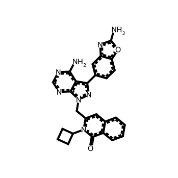 Nc1nc2cc(-c3nn(Cc4cc5ccccc5c(=O)n4C4CCC4)c4ncnc(N)c34)ccc2o1